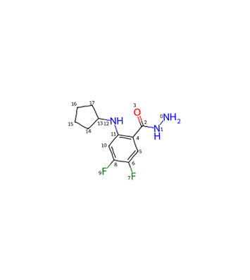 NNC(=O)c1cc(F)c(F)cc1NC1CCCC1